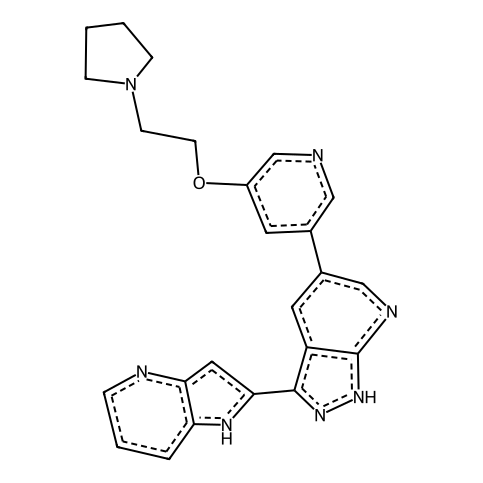 c1cnc2cc(-c3n[nH]c4ncc(-c5cncc(OCCN6CCCC6)c5)cc34)[nH]c2c1